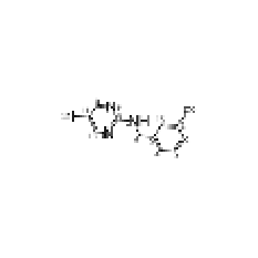 Fc1cccc(CNc2ncc(I)cn2)c1